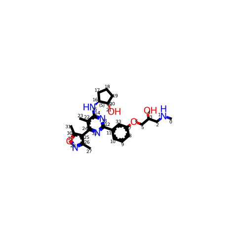 CNCC(O)COc1cccc(-c2nc(N[C@H]3CCC[C@H]3O)c(C)c(-c3c(C)noc3C)n2)c1